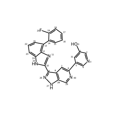 Oc1cncc(-c2cc3c(-c4nc5c(-c6ccccc6F)cccc5[nH]4)n[nH]c3cn2)c1